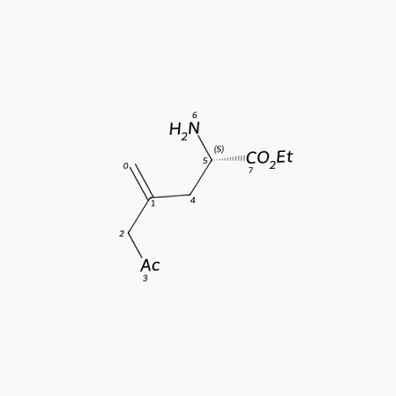 C=C(CC(C)=O)C[C@H](N)C(=O)OCC